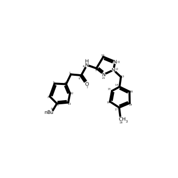 CCCCc1ccc(CC(=O)Nc2cnn(Cc3ccc(C)cc3)n2)cc1